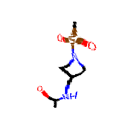 CC(=O)NC1CN(S(C)(=O)=O)C1